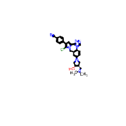 CN(C)C[C@@H]1CN(c2ccc3c(c2)Cn2c(cc(-c4ccc(C#N)cc4)c2Cl)-c2nncn2-3)C[C@@H]1O